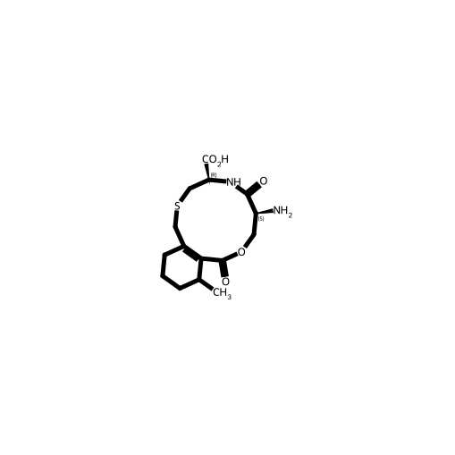 CC1CCCC2=C1C(=O)OC[C@H](N)C(=O)N[C@H](C(=O)O)CSC2